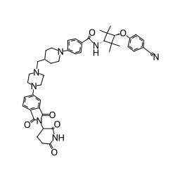 CC1(C)[C@H](NC(=O)c2ccc(N3CCC(CN4CCN(c5ccc6c(c5)C(=O)N(C5CCC(=O)NC5=O)C6=O)CC4)CC3)cc2)C(C)(C)[C@H]1Oc1ccc(C#N)cc1